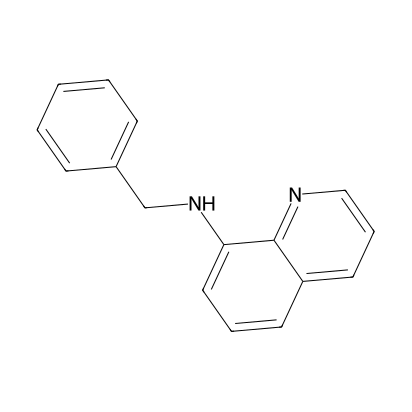 c1ccc(CNc2cccc3cccnc23)cc1